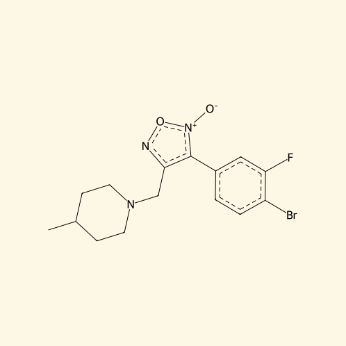 CC1CCN(Cc2no[n+]([O-])c2-c2ccc(Br)c(F)c2)CC1